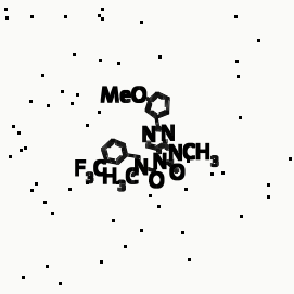 COc1cccc(-c2ncc3c(n2)n(C)c(=O)n3C(=O)N(C)Cc2cccc(C(F)(F)F)c2)c1